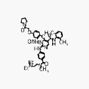 CCN(CC)CCN(C)C(=O)c1ccc(Nc2ncc(C(=O)Nc3c(C)cccc3C)c(Oc3ccc(OCC(=O)N4CCCC4)cc3OC)n2)cc1